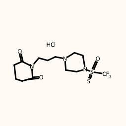 Cl.O=C1CCCC(=O)N1CCCN1CCN(S(=O)(=S)C(F)(F)F)CC1